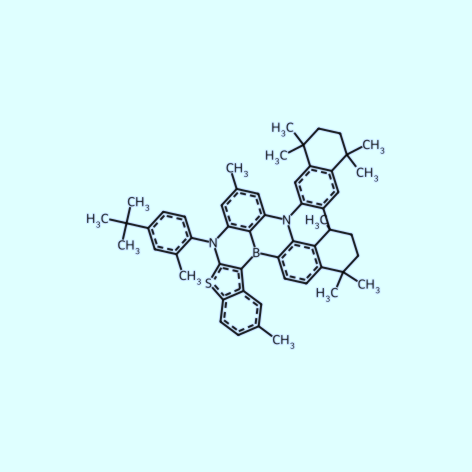 Cc1cc2c3c(c1)N1c4cc5c(cc4C4(C)CCC(C)(C)c6ccc(c1c64)B3c1c(sc3ccc(C)cc13)N2c1ccc(C(C)(C)C)cc1C)C(C)(C)CCC5(C)C